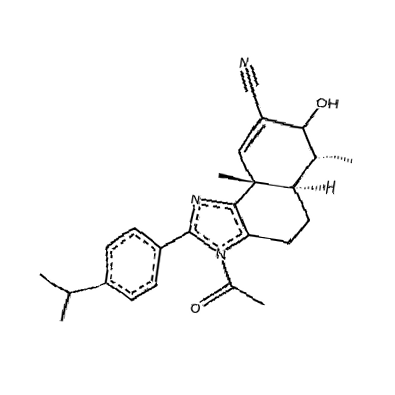 CC(=O)n1c(-c2ccc(C(C)C)cc2)nc2c1CC[C@@H]1[C@@H](C)C(O)C(C#N)=C[C@@]21C